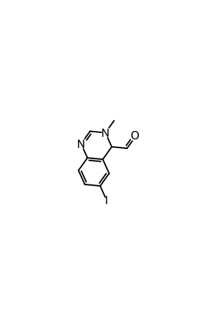 CN1C=Nc2ccc(I)cc2C1C=O